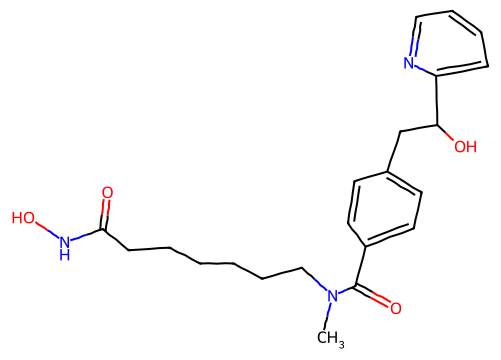 CN(CCCCCCC(=O)NO)C(=O)c1ccc(CC(O)c2ccccn2)cc1